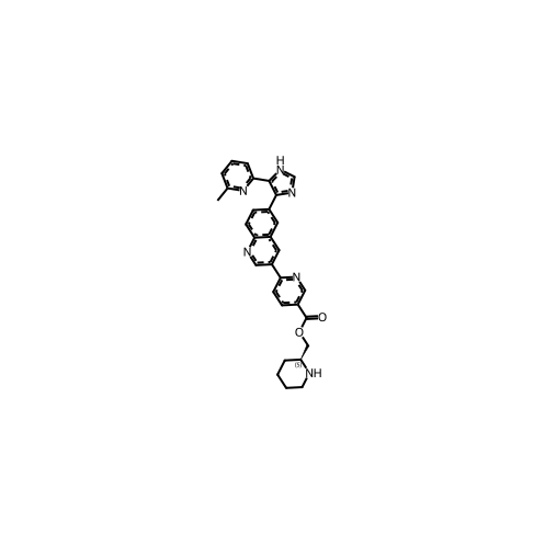 Cc1cccc(-c2[nH]cnc2-c2ccc3ncc(-c4ccc(C(=O)OC[C@@H]5CCCCN5)cn4)cc3c2)n1